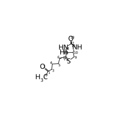 CC(=O)CCCC[C@@H]1SCC2NC(=O)N[C@@H]21